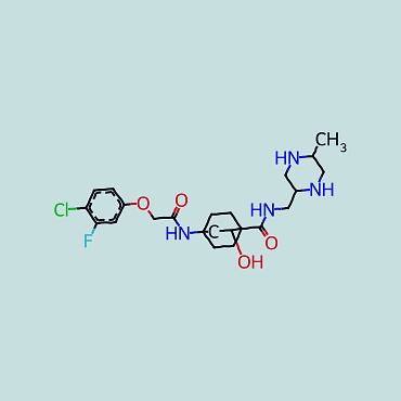 CC1CNC(CNC(=O)C23CCC(NC(=O)COc4ccc(Cl)c(F)c4)(CC2)CC3O)CN1